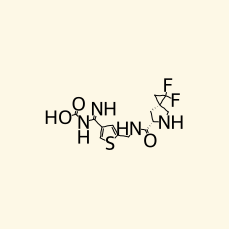 N=C(NC(=O)O)c1csc(CNC(=O)[C@@H]2C[C@]3(CN2)CC3(F)F)c1